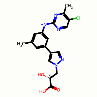 Cc1cc(Nc2ncc(Cl)c(C)n2)cc(-c2cnn(C[C@@H](O)C(=O)O)c2)c1